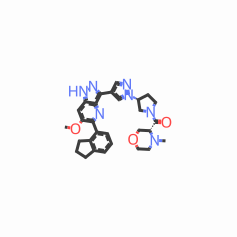 COc1cc2[nH]nc(-c3cnn([C@H]4CCN(C(=O)[C@H]5COCCN5C)C4)c3)c2nc1-c1cccc2c1CCC2